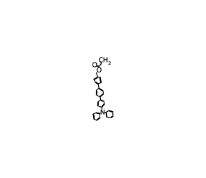 C=CC(=O)OCc1ccc(-c2ccc(-c3ccc(N(c4ccccc4)c4ccccc4)cc3)cc2)cc1